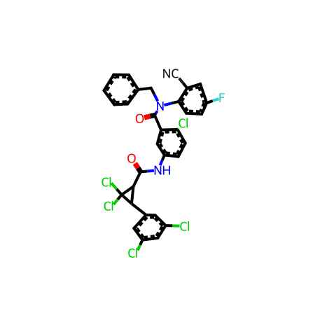 N#Cc1cc(F)ccc1N(Cc1ccccc1)C(=O)c1cc(NC(=O)C2C(c3cc(Cl)cc(Cl)c3)C2(Cl)Cl)ccc1Cl